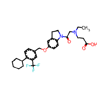 CCN(CCC(=O)O)CC(=O)N1CCc2cc(OCc3ccc(C4CCCCC4)c(C(F)(F)F)c3)ccc21